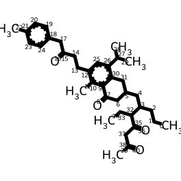 CCCC(CC1CC(=O)c2c(C)c(CCC(=O)Cc3ccc(C)cc3)cc(C(C)C)c2C1)C(CC)C(=O)CC(C)=O